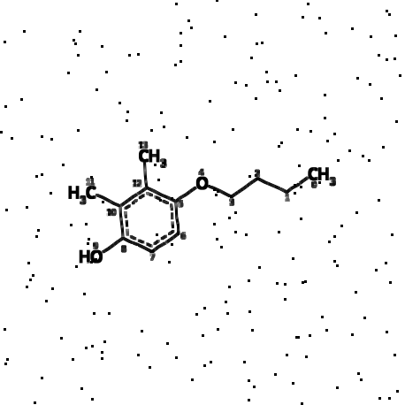 CCCCOc1ccc(O)c(C)c1C